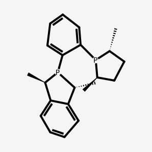 C[C@@H]1CC[C@@H](C)P1c1ccccc1P1[C@H](C)c2ccccc2[C@H]1C